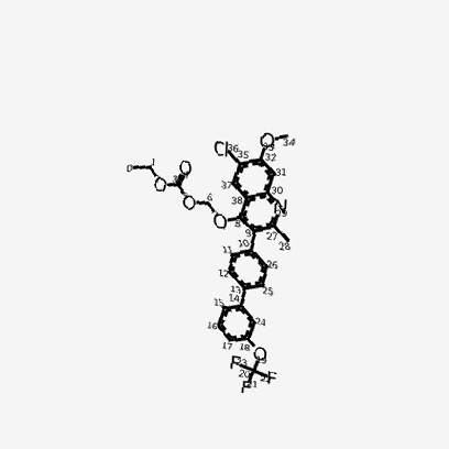 CCOC(=O)OCOc1c(-c2ccc(-c3cccc(OC(F)(F)F)c3)cc2)c(C)nc2cc(OC)c(Cl)cc12